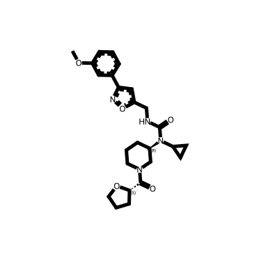 COc1cccc(-c2cc(CNC(=O)N(C3CC3)[C@@H]3CCCN(C(=O)[C@@H]4CCCO4)C3)on2)c1